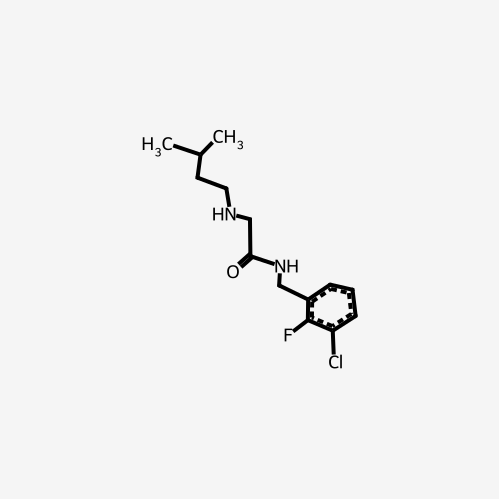 CC(C)CCNCC(=O)NCc1cccc(Cl)c1F